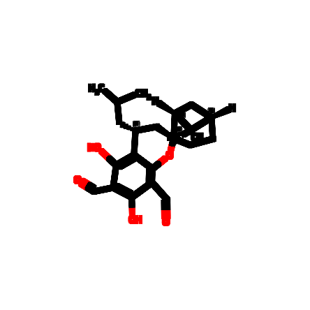 CC(C)C[C@@H]1C[C@@]2(CC[C@H]3C[C@@H]2C3(C)C)Oc2c(C=O)c(O)c(C=O)c(O)c21